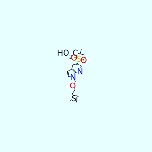 CC(C)(C(=O)O)S(=O)(=O)c1cnc2c(ccn2COCC[Si](C)(C)C)c1